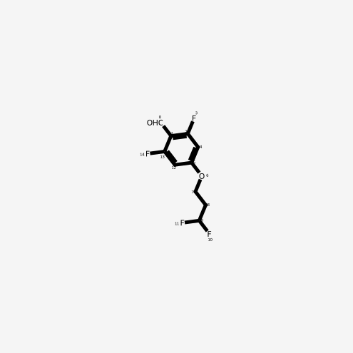 O=Cc1c(F)cc(OCCC(F)F)cc1F